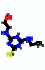 CCNc1nc(S)nc(NCCO)n1